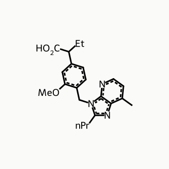 CCCc1nc2c(C)ccnc2n1Cc1ccc(C(CC)C(=O)O)cc1OC